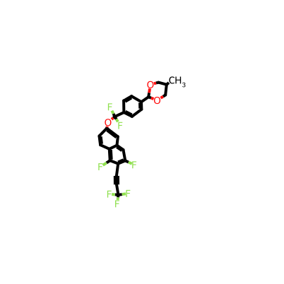 CC1COC(c2ccc(C(F)(F)Oc3ccc4c(F)c(C#CC(F)(F)F)c(F)cc4c3)cc2)OC1